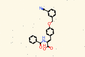 N#Cc1cccc(COc2ccc(/C=C(\NC(=O)c3ccccc3)C(=O)O)cc2)c1